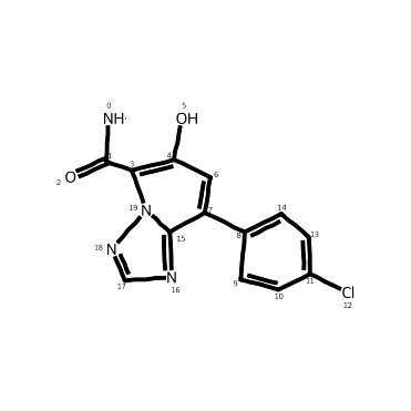 [NH]C(=O)c1c(O)cc(-c2ccc(Cl)cc2)c2ncnn12